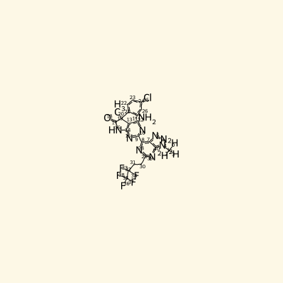 [2H]C([2H])([2H])n1nnc2c(-c3nc(N)c4c(n3)NC(=O)C4(C)c3ccc(Cl)cc3)nc(CCC(F)(F)C(F)(F)F)nc21